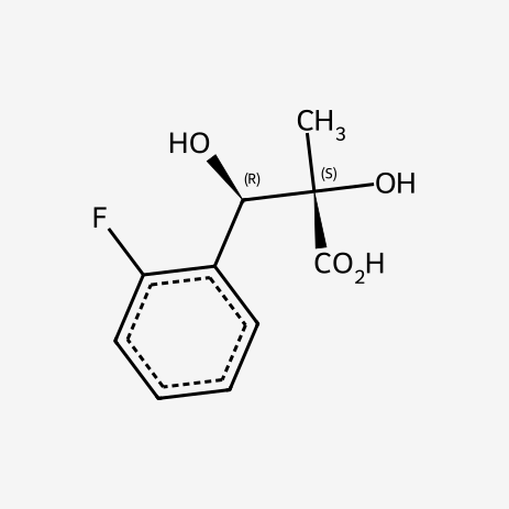 C[C@@](O)(C(=O)O)[C@H](O)c1ccccc1F